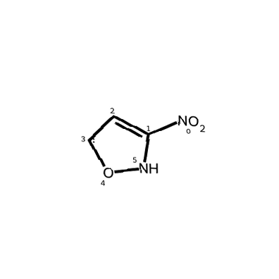 O=[N+]([O-])C1=C[C]ON1